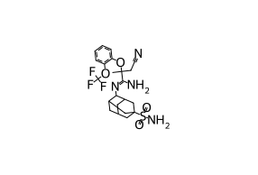 CC(CC#N)(Oc1ccccc1OC(F)(F)F)C(N)=NC1C2CC3CC1CC(S(N)(=O)=O)(C3)C2